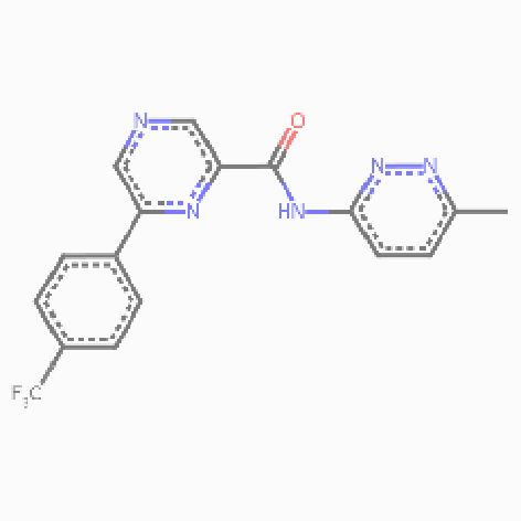 Cc1ccc(NC(=O)c2cncc(-c3ccc(C(F)(F)F)cc3)n2)nn1